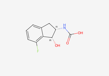 O=C(O)N[C@H]1Cc2cccc(F)c2[C@H]1O